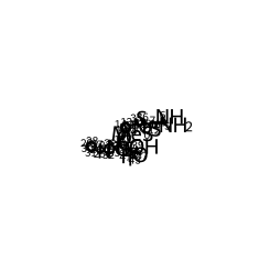 CSc1sc(C(=N)N)cc1-c1nc(-c2cccc(OCC(=O)N3CCN(Cc4ccccc4)CC3)c2)cs1.O=C(O)C(F)(F)F